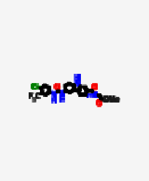 COC(=O)CNC(=O)c1ccc2c3c([nH]c2c1)CCC(NC(=O)Nc1ccc(Cl)c(C(F)(F)F)c1)C3